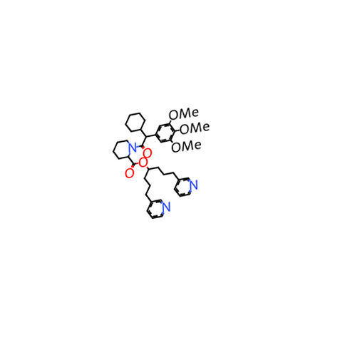 COc1cc(C(C(=O)N2CCCCC2C(=O)OC(CCCc2cccnc2)CCCc2cccnc2)C2CCCCC2)cc(OC)c1OC